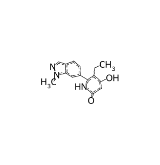 CCc1c(O)cc(=O)[nH]c1-c1ccc2cnn(C)c2c1